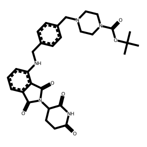 CC(C)(C)OC(=O)N1CCN(Cc2ccc(CNc3cccc4c3C(=O)N(C3CCC(=O)NC3=O)C4=O)cc2)CC1